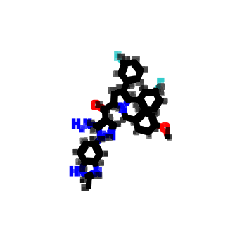 COc1ccc(Cn2c(C(=O)c3cnn(-c4ccc5[nH]c(C)nc5c4)c3N)cc(-c3cccc(F)c3)c2-c2cccc(F)c2)cc1